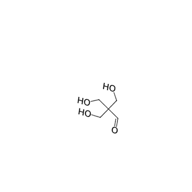 O=CC(CO)(CO)CO